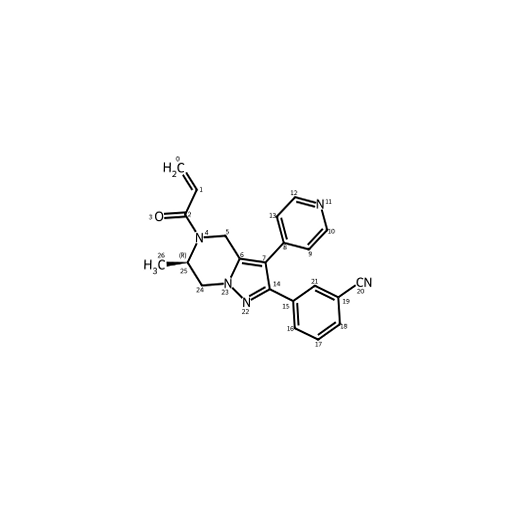 C=CC(=O)N1Cc2c(-c3ccncc3)c(-c3cccc(C#N)c3)nn2C[C@H]1C